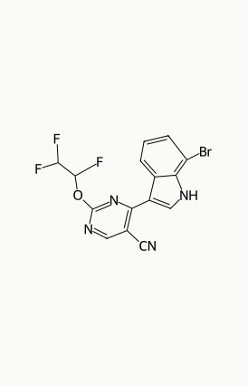 N#Cc1cnc(OC(F)C(F)F)nc1-c1c[nH]c2c(Br)cccc12